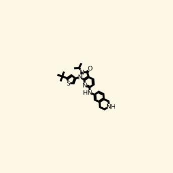 CC(C)n1c(=O)c2ccc(Nc3ccc4c(c3)CCNC4)nc2n1-c1csc(C(C)(C)C)c1